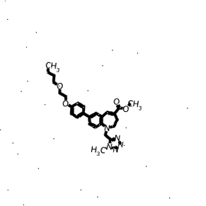 CCCCOCCOc1ccc(-c2ccc3c(c2)C=C(C(=O)OC)CCN3Cc2nnnn2C)cc1